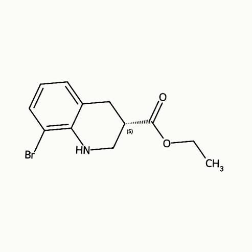 CCOC(=O)[C@@H]1CNc2c(Br)cccc2C1